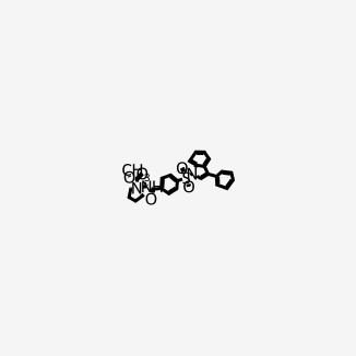 COC(=O)[N+]1(NC(=O)c2ccc(S(=O)(=O)n3cc(-c4ccccc4)c4ccccc43)cc2)CCCC1